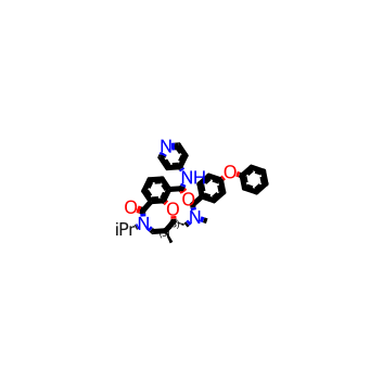 CC(C)N1C[C@H](C)[C@@H](CN(C)Cc2ccc(Oc3ccccc3)cc2)Oc2c(C(=O)Nc3ccncc3)cccc2C1=O